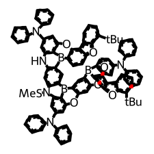 CSN1c2cc3c(cc2B2c4cc5c(cc4Oc4cc(N(c6ccccc6)c6ccccc6)cc1c42)Oc1cc(N(c2ccccc2)c2ccccc2)cc2c1B5c1ccc4oc5c(C(C)(C)C)cccc5c4c1O2)B1c2ccc4oc5c(C(C)(C)C)cccc5c4c2Oc2cc(N(c4ccccc4)c4ccccc4)cc(c21)N3